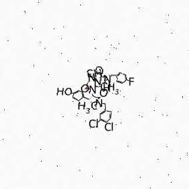 C[C@H]1N([C@@H](Cc2ccc(O)cc2)C(=O)N(C)Cc2ccc(Cl)c(Cl)c2)C(=O)CN(C)N1C(=O)NCc1ccc(F)cc1